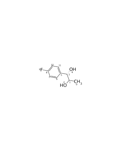 CC(O)[C@@H](O)c1ccc(F)cc1